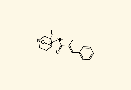 C/C(=C\c1ccccc1)C(=O)N[C@@H]1CN2CCC1CC2